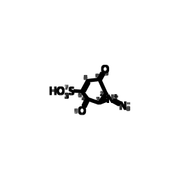 [N-]=[N+]1C2=C1C(=O)C(S(=O)(=O)O)=CC2=O